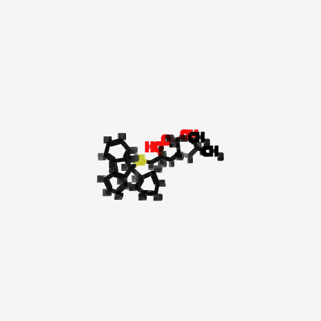 CC(C)C[C@H](C[C@H](O)CSC(c1ccccc1)(c1ccccc1)c1ccccc1)C(=O)O